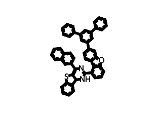 c1ccc(-c2cc(-c3ccccc3)cc(-c3ccc4c(c3)oc3cccc(C5=NC(c6ccc7ccccc7c6)=C6Sc7ccccc7C6N5)c34)c2)cc1